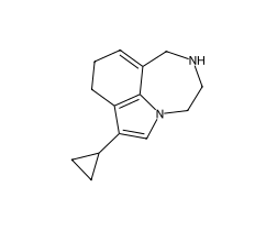 C1=C2CNCCn3cc(C4CC4)c(c32)CC1